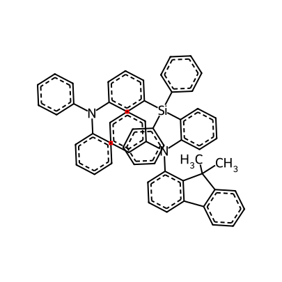 CC1(C)c2ccccc2-c2cccc(N(c3ccccc3)c3ccccc3[Si](c3ccccc3)(c3ccccc3)c3cccc(N(c4ccccc4)c4ccccc4)c3)c21